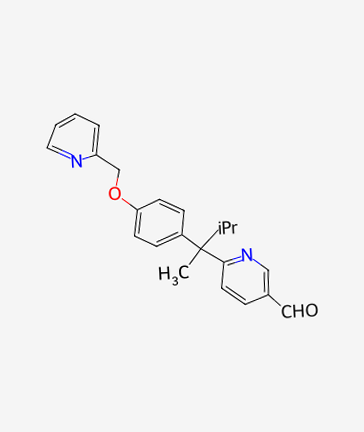 CC(C)C(C)(c1ccc(OCc2ccccn2)cc1)c1ccc(C=O)cn1